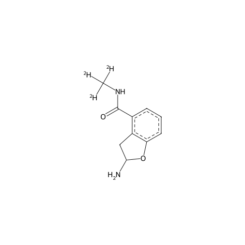 [2H]C([2H])([2H])NC(=O)c1cccc2c1CC(N)O2